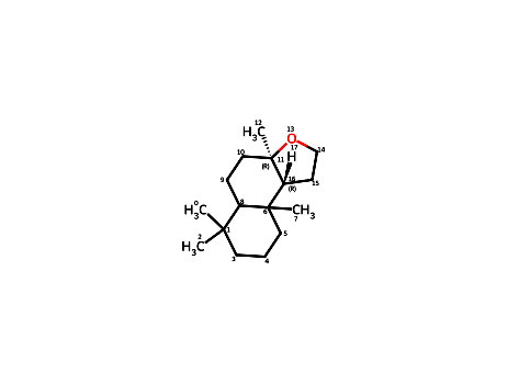 CC1(C)CCCC2(C)C1CC[C@@]1(C)OCC[C@H]21